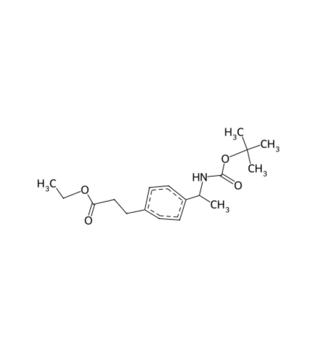 CCOC(=O)CCc1ccc(C(C)NC(=O)OC(C)(C)C)cc1